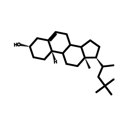 CC(CC(C)(C)C)[C@H]1CCC2C3CC=C4C[C@@H](O)CC[C@@H]4C3CC[C@@]21C